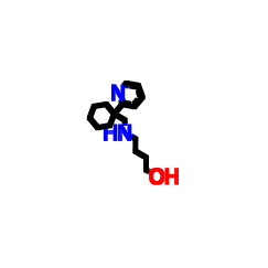 OCCCCNCC1(c2ccccn2)CCCCC1